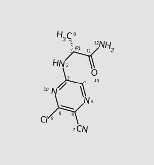 C[C@@H](Nc1cnc(C#N)c(Cl)n1)C(N)=O